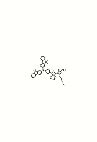 CCCCCCc1cc(C=O)sc1-c1sc(-c2ccc(N(c3ccc4c(c3)C(C)(C)c3ccccc3-4)c3ccc4c(c3)C(C)(C)c3ccccc3-4)cc2)c2c1OCCO2